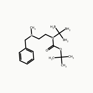 BC(B)(B)N(CCN(C)Cc1ccccc1)C(=O)OC(C)(C)C